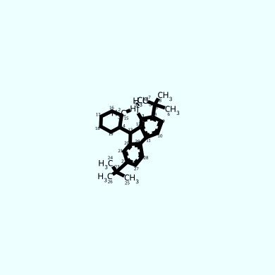 [CH3][Hf]([CH3])[c]1c(C(C)(C)C)ccc2c1C(C1CCCCC1)c1cc(C(C)(C)C)ccc1-2